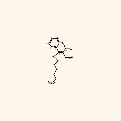 COCCCCCOc1c(CC(C)C)c(=O)oc2ccccc12